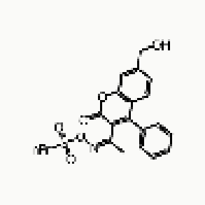 CCCS(=O)(=O)O/N=C(/C)c1c(-c2ccccc2)c2ccc(CO)cc2oc1=O